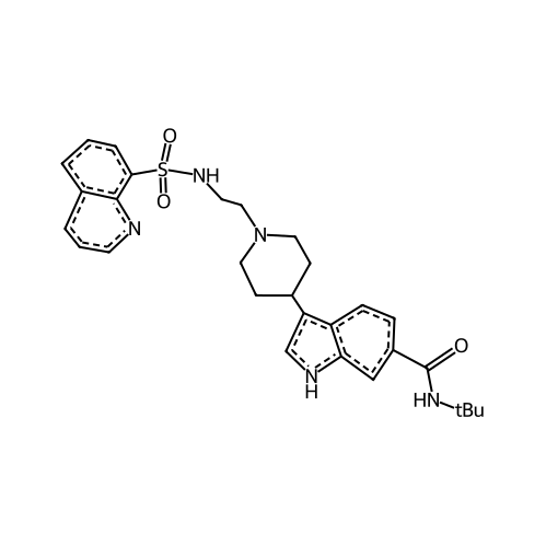 CC(C)(C)NC(=O)c1ccc2c(C3CCN(CCNS(=O)(=O)c4cccc5cccnc45)CC3)c[nH]c2c1